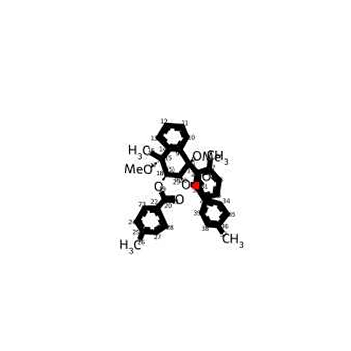 CO[C@@]1(c2ccccc2C)c2ccccc2[C@@](C)(OC)[C@@H](OC(=O)c2ccc(C)cc2)[C@H]1OC(=O)c1ccc(C)cc1